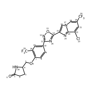 O=C1CCC(COc2ccc(-c3noc(-c4cn5cc(C(F)(F)F)cc(Cl)c5n4)n3)cc2C(F)(F)F)N1